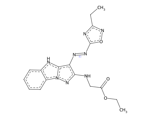 CCOC(=O)CNc1nn2c([nH]c3ccccc32)c1/N=N/c1nc(CC)no1